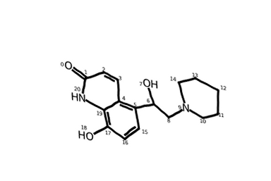 O=c1ccc2c(C(O)CN3CCCCC3)ccc(O)c2[nH]1